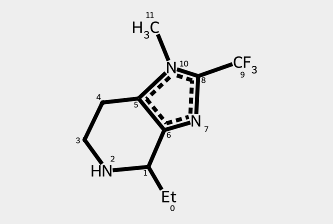 CCC1NCCc2c1nc(C(F)(F)F)n2C